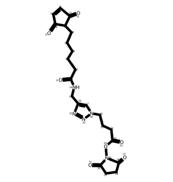 O=C(CCCCCC1C(=O)C=CC1=O)NCc1cn(CCCC(=O)ON2C(=O)CCC2=O)nn1